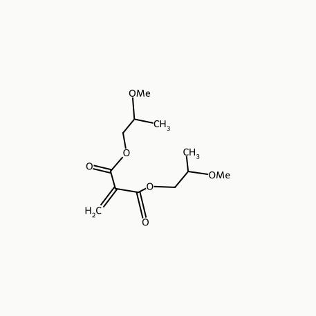 C=C(C(=O)OCC(C)OC)C(=O)OCC(C)OC